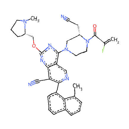 C=C(F)C(=O)N1CCN(c2nc(OC[C@@H]3CCCN3C)nc3c(C#N)c(-c4cccc5cccc(C)c45)ncc23)C[C@@H]1CC#N